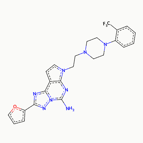 Nc1nc2c(ccn2CCN2CCN(c3ccccc3C(F)(F)F)CC2)c2nc(-c3ccco3)nn12